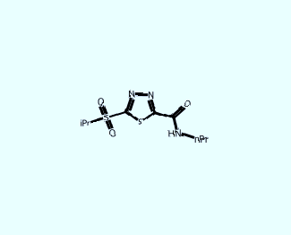 CCCNC(=O)c1nnc(S(=O)(=O)C(C)C)s1